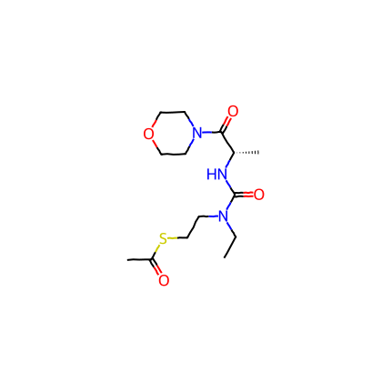 CCN(CCSC(C)=O)C(=O)N[C@@H](C)C(=O)N1CCOCC1